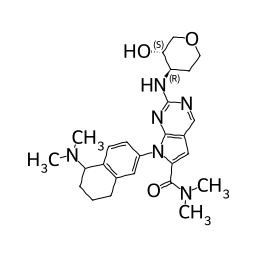 CN(C)C(=O)c1cc2cnc(N[C@@H]3CCOC[C@H]3O)nc2n1-c1ccc2c(c1)CCCC2N(C)C